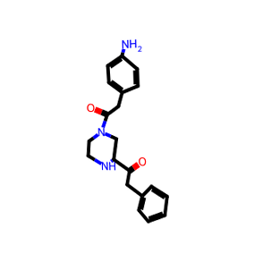 Nc1ccc(CC(=O)N2CCNC(C(=O)Cc3ccccc3)C2)cc1